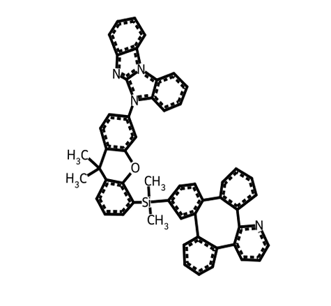 CC1(C)c2ccc(-n3c4ccccc4n4c5ccccc5nc34)cc2Oc2c1cccc2[Si](C)(C)c1ccc2c(c1)-c1ccccc1-c1cccnc1-c1ccccc1-2